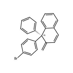 C=C1C=Cc2ccccc2[C@]1(c1ccccc1)c1ccc(Br)cc1